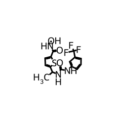 CC(NC(=O)Nc1cccc(C(F)(F)F)c1)c1ccc(C(=O)NO)s1